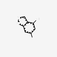 Cc1cc(S)cc2[nH]ncc12